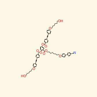 N#Cc1ccc(-c2ccc(OCCCCCCCCOC(=O)c3cc(OC(=O)c4ccc(C#Cc5ccc(OCCCCCCO)cc5)cc4)ccc3OC(=O)c3ccc(C#Cc4ccc(OCCCCCCO)cc4)cc3)cc2)cc1